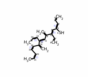 C=C/C=C(S)\C=C(/C=C)C(=C)/C=C(\C=C/C)C(=C)/C=C\C=C/C